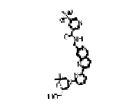 CC1(C)CN(c2cccc(-c3ccc4cnc(CNC(=O)c5cncc(S(C)(=O)=O)c5)cc4n3)n2)C[C@H](CO)O1